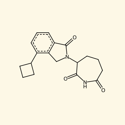 O=C1CCCC(N2Cc3c(cccc3C3CCC3)C2=O)C(=O)N1